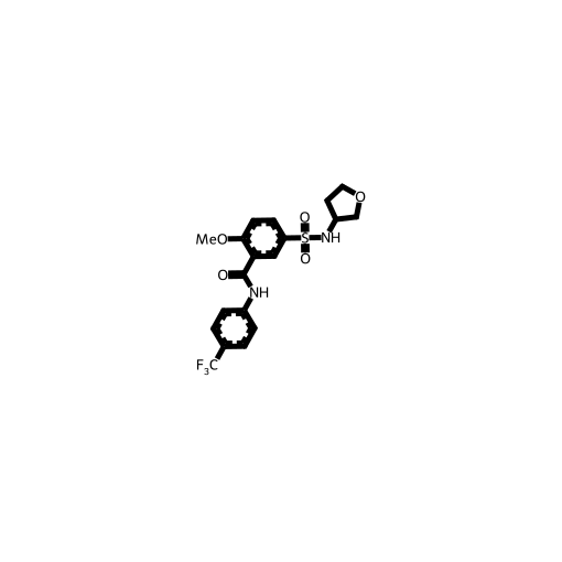 COc1ccc(S(=O)(=O)NC2CCOC2)cc1C(=O)Nc1ccc(C(F)(F)F)cc1